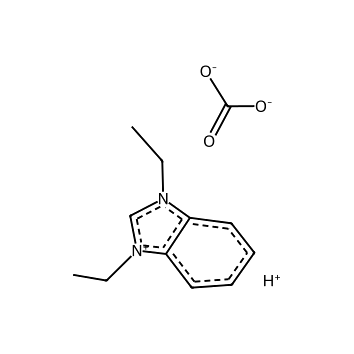 CCn1c[n+](CC)c2ccccc21.O=C([O-])[O-].[H+]